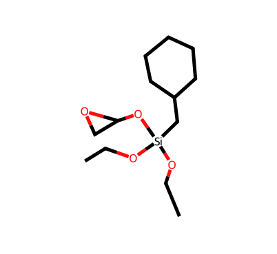 CCO[Si](CC1CCCCC1)(OCC)OC1CO1